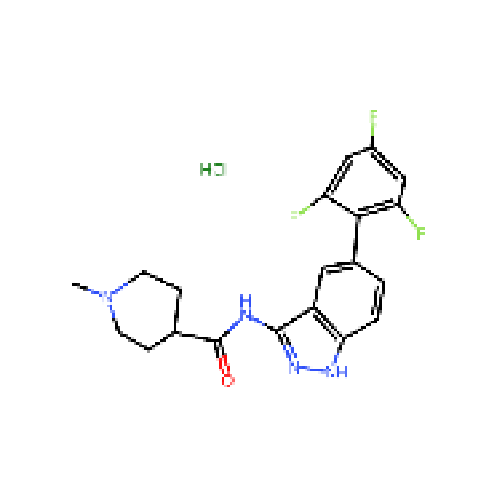 CN1CCC(C(=O)Nc2n[nH]c3ccc(-c4c(F)cc(F)cc4F)cc23)CC1.Cl